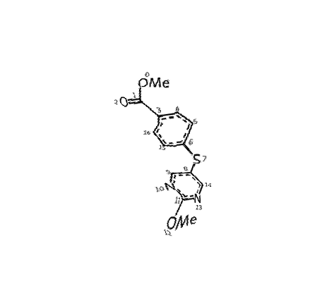 COC(=O)c1ccc(Sc2cnc(OC)nc2)cc1